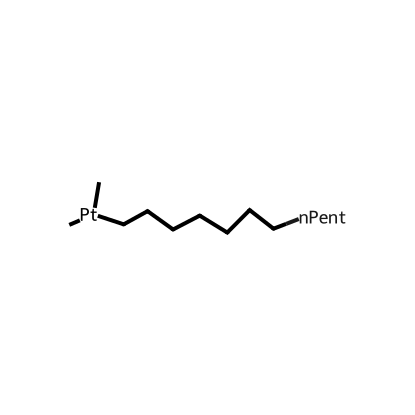 CCCCCCCCCCC[CH2][Pt]([CH3])[CH3]